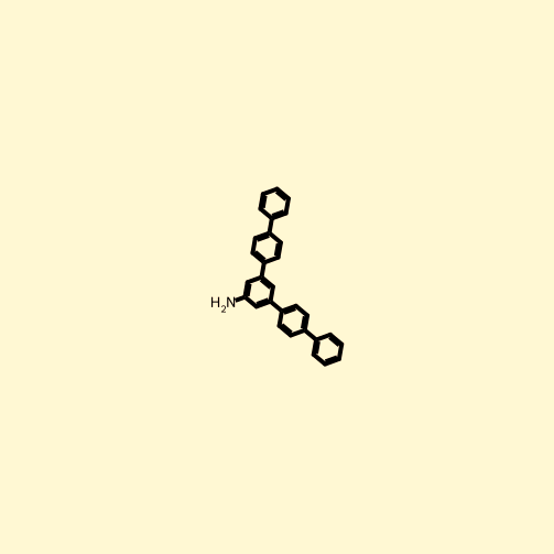 Nc1cc(-c2ccc(-c3ccccc3)cc2)cc(-c2ccc(-c3ccccc3)cc2)c1